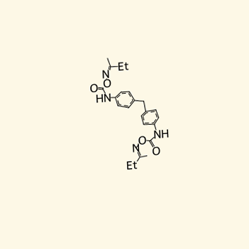 CC/C(C)=N\OC(=O)Nc1ccc(Cc2ccc(NC(=O)O/N=C(\C)CC)cc2)cc1